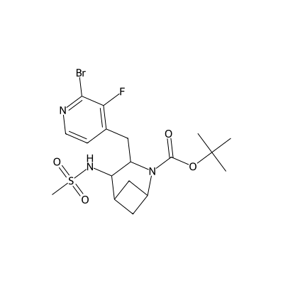 CC(C)(C)OC(=O)N1C2CC(C2)C(NS(C)(=O)=O)C1Cc1ccnc(Br)c1F